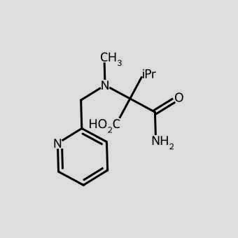 CC(C)C(C(N)=O)(C(=O)O)N(C)Cc1ccccn1